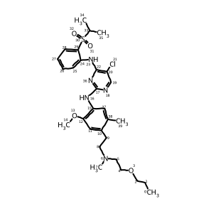 CCCOCCN(C)CCc1cc(OC)c(Nc2ncc(Cl)c(Nc3ccccc3S(=O)(=O)C(C)C)n2)cc1C